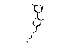 C=NCNCc1cnc(-c2ccnc(C)c2)c(OC)c1